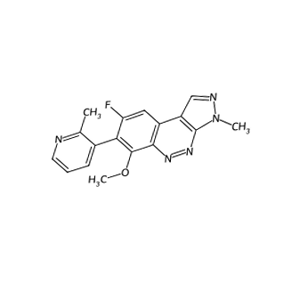 COc1c(-c2cccnc2C)c(F)cc2c1nnc1c2cnn1C